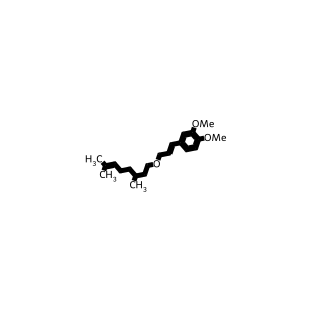 COc1ccc(/C=C/COCCC(C)CCC=C(C)C)cc1OC